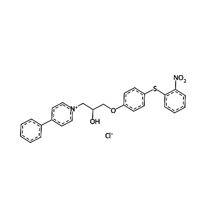 O=[N+]([O-])c1ccccc1Sc1ccc(OCC(O)C[n+]2ccc(-c3ccccc3)cc2)cc1.[Cl-]